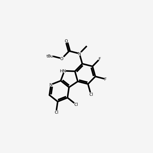 CN(C(=O)OC(C)(C)C)c1c(F)c(F)c(Cl)c2c1[nH]c1ncc(Cl)c(Cl)c12